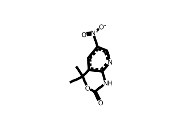 CC1(C)OC(=O)Nc2ncc([N+](=O)[O-])cc21